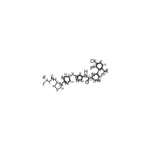 C[C@@H](F)CN(C)CC1CCCN1c1ncc(Cn2cc(NC(=O)c3cncc(-c4c(C(F)F)ccc(Cl)c4F)n3)cn2)cn1